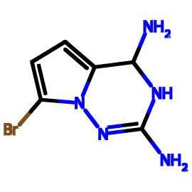 NC1=Nn2c(Br)ccc2C(N)N1